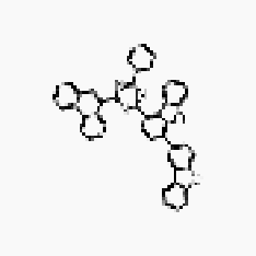 C1=CCC(c2nc(-c3cc4ccccc4c4ccccc34)nc(-c3ccc(-c4ccc5oc6ccccc6c5c4)c4oc5ccccc5c34)n2)C=C1